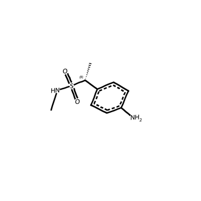 CNS(=O)(=O)[C@H](C)c1ccc(N)cc1